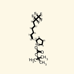 CC(C)(C)OC(=O)ON1CCC[C@H]1/C=C\CCCCC(F)(F)C(F)(F)F